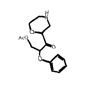 CC(=O)OCC(Oc1ccccc1)C(=O)C1CNCCO1